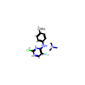 CN(C)C.COc1ccc(Nc2nc(Cl)ncc2F)cc1